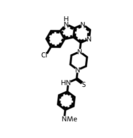 CNc1ccc(NC(=S)N2CCN(c3ncnc4[nH]c5ccc(Cl)cc5c34)CC2)cc1